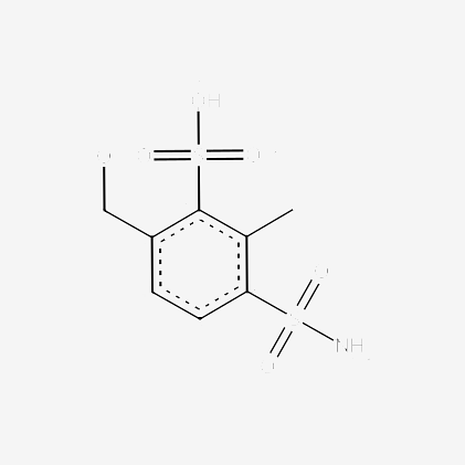 Cc1c(S(N)(=O)=O)ccc(C[O])c1S(=O)(=O)O